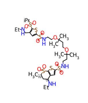 CCNCc1cc(S(=O)(=O)NCCOC(C)(C)CCOC(C)(C)CCNS(=O)(=O)c2cc3c(s2)S(=O)(=O)[C@@H](C)C[C@@H]3NCC)sc1S(=O)(=O)C(C)C